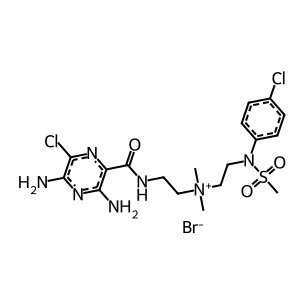 C[N+](C)(CCNC(=O)c1nc(Cl)c(N)nc1N)CCN(c1ccc(Cl)cc1)S(C)(=O)=O.[Br-]